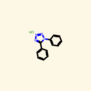 Cl.c1ccc(-c2nnnn2-c2ccccc2)cc1